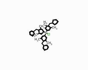 Cc1cc([Si](Cl)(c2cc(C)c(Cc3ccccc3)c(C)c2)c2cc(C)c(Cc3ccccc3)c(C)c2)cc(C)c1Cc1ccccc1